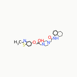 Cc1nc2cc(OC[C@H](O)CN3CCN(CC(=O)Nc4cccc5c4CCCC5)CC3)ccc2s1